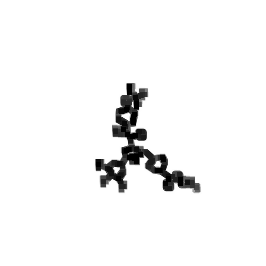 COC(=O)c1ccc(Cn2nc(-c3cc(F)c(F)c(F)c3)cc2C(=O)Nc2ccc(OC(F)(F)F)cc2)cc1